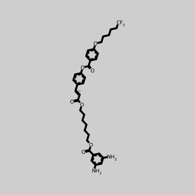 Nc1cc(N)cc(C(=O)OCCCCCCCOC(=O)/C=C/c2ccc(OC(=O)c3ccc(OCCCCCC(F)(F)F)cc3)cc2)c1